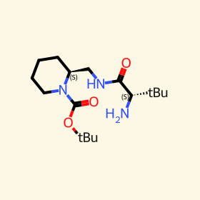 CC(C)(C)OC(=O)N1CCCC[C@H]1CNC(=O)[C@@H](N)C(C)(C)C